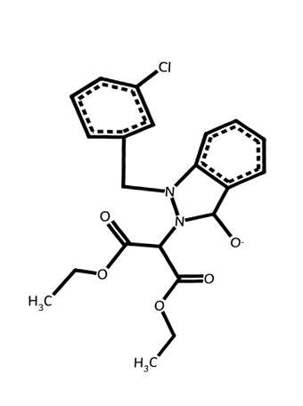 CCOC(=O)C(C(=O)OCC)N1C([O])c2ccccc2N1Cc1cccc(Cl)c1